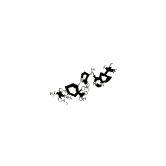 CC(C)(C)N[C@@H]1CC[C@H](N2CC[C@H](Nc3ncnc4ccc(C(F)(F)F)cc34)C2=O)[C@](C)(C(=O)O)C1